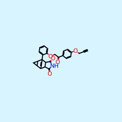 C#CCOc1ccc(C(=O)COc2ccccc2C23C=CC(C4CC42)C2C(=O)NC(=O)C23)cc1